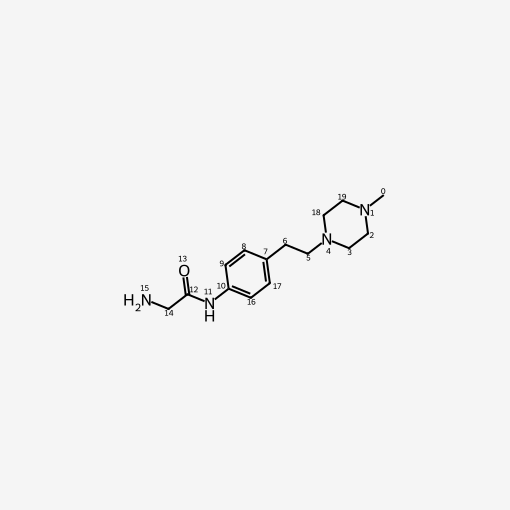 CN1CCN(CCc2ccc(NC(=O)CN)cc2)CC1